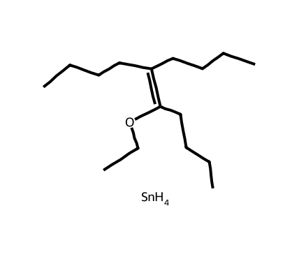 CCCCC(CCCC)=C(CCCC)OCC.[SnH4]